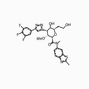 CO[C@@H]1[C@@H](n2cc(-c3cc(F)c(F)c(F)c3)nn2)[C@@H](O)[C@@H](CCO)O[C@H]1C(=O)N(C)c1ccc2nc(C)sc2c1